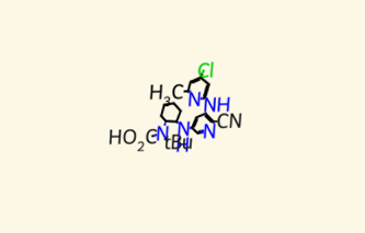 Cc1cc(Cl)cc(Nc2cc(N[C@@H]3CCCC[C@@H]3N(C(=O)O)C(C)(C)C)cnc2C#N)n1